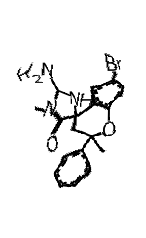 CN1C(=O)C2(CC(C)(c3ccccc3)Oc3ccc(Br)cc32)NC1N